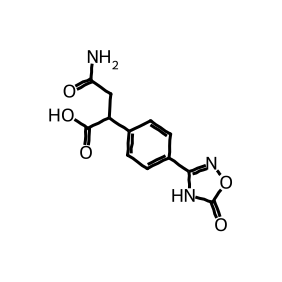 NC(=O)CC(C(=O)O)c1ccc(-c2noc(=O)[nH]2)cc1